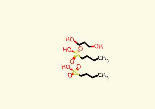 CCCCS(=O)(=O)O.CCCCS(=O)(=O)O.OCCCO